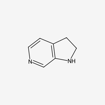 c1cc2c(cn1)NCC2